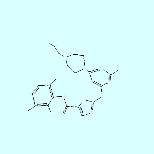 Cc1nc(Nc2ncc(C(=O)Nc3c(Cl)ccc(Cl)c3C)s2)cc(N2CCN(CCO)CC2)n1